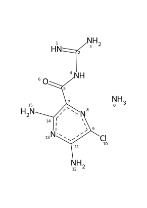 N.N=C(N)NC(=O)c1nc(Cl)c(N)nc1N